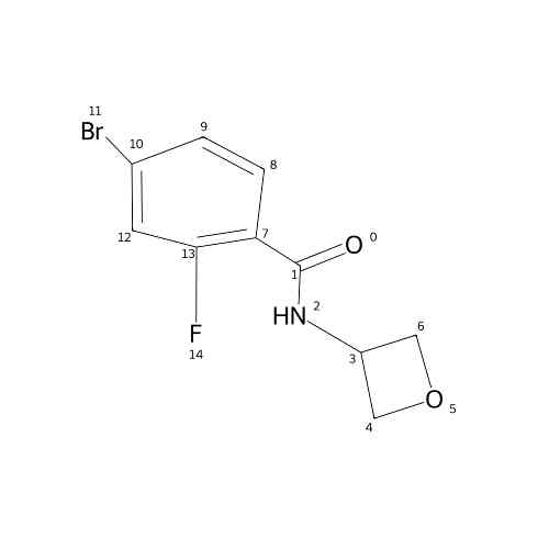 O=C(NC1COC1)c1ccc(Br)cc1F